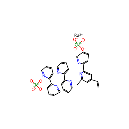 C=Cc1cc(C)nc(-c2ccccn2)c1.[O-][Cl+3]([O-])([O-])[O-].[O-][Cl+3]([O-])([O-])[O-].[Ru+2].c1ccc(-c2ccccn2)nc1.c1ccc(-c2ccccn2)nc1